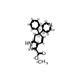 COC(=O)c1n[nH]c2c1C=CC(c1ccccc1)(c1ccncc1)C2